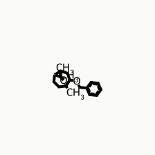 CC1(C)OC2(C)CCC1CCC2OCc1ccccc1